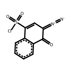 [N-]=[N+]=C1C=C(S(=O)(=O)Cl)c2ccccc2C1=O